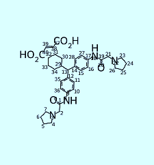 O=C(CN1CCCC1)Nc1ccc(C(c2ccc(NC(=O)CN3CCCC3)cc2)C2CCCCC2)cc1.O=C(O)C=CC(=O)O